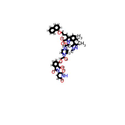 Cc1ccc2c(CCCOc3cccc4ccccc34)c(C(=O)O)n(CCN3CCN(C(=O)COc4cccc5c4C(=O)N(C4CCC(=O)NC4=O)C5=O)CC3)c2c1-c1c(C)nn(C)c1C